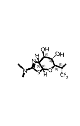 C[C@@H]([C@H]1O[C@@H]2SC(N(C)C)=N[C@@H]2[C@@H](O)[C@@H]1O)C(F)(F)F